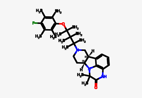 Bc1c(B)c(OC(B)(B)C(B)(B)C(B)(B)N2CC[C@H]3[C@@H](C2)c2cccc4c2N3C(B)(B)C(=O)N4)c(B)c(B)c1F